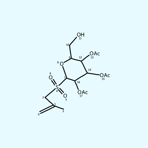 C=C(C)CS(=O)(=O)C1OC(CO)C(OC(C)=O)C(OC(C)=O)C1OC(C)=O